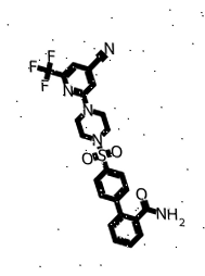 N#Cc1cc(N2CCN(S(=O)(=O)c3ccc(-c4ccccc4C(N)=O)cc3)CC2)nc(C(F)(F)F)c1